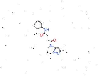 CCc1ccccc1NC(=O)CCC(=O)N1CCCn2nc(C)cc21